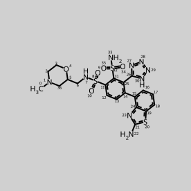 CN1CCOC(CNS(=O)(=O)c2ccc(-c3cccc4sc(N)nc34)c(-c3nnn[nH]3)c2S(N)(=O)=O)C1